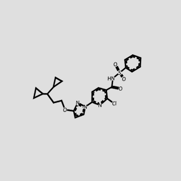 O=C(NS(=O)(=O)c1ccccc1)c1ccc(-n2ccc(OCCC(C3CC3)C3CC3)n2)nc1Cl